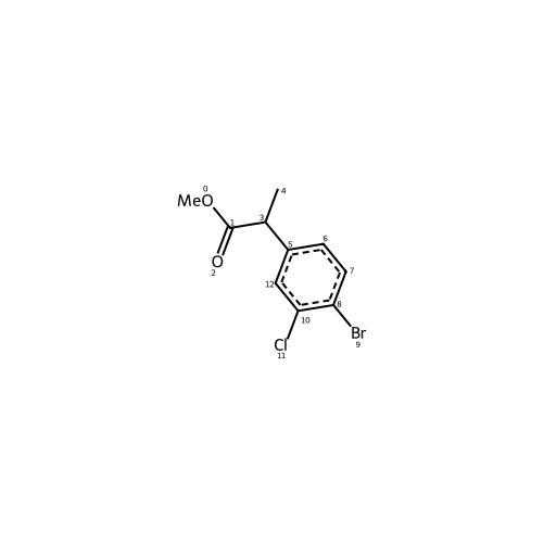 COC(=O)C(C)c1ccc(Br)c(Cl)c1